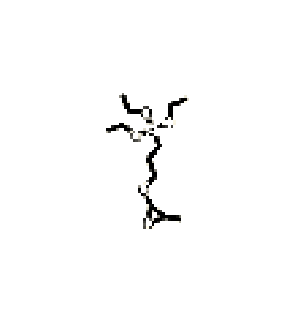 CCO[Si](CCCOC1OC1C)(OCC)OCC